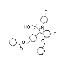 CC(C)(CO)c1c(-c2ccc(COC(=O)c3ccccc3)cc2)c2c(OCc3ccccc3)cc(F)cc2n1-c1ccc(F)cc1